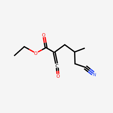 CCOC(=O)C(=C=O)CC(C)CC#N